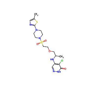 CC(COCCS(=O)(=O)N1CCN(c2ncc(C(F)(F)F)s2)CC1)Nc1cn[nH]c(=O)c1Cl